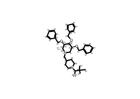 [2H]C(N1CCC(CN2C[C@H](OCc3ccccc3)[C@@H](OCc3ccccc3)[C@H](OCc3ccccc3)[C@H]2C)CC1)C(C)(C)C